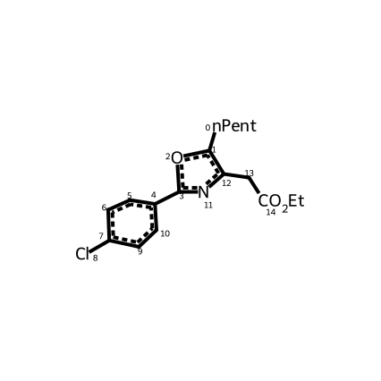 CCCCCc1oc(-c2ccc(Cl)cc2)nc1CC(=O)OCC